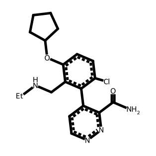 CCNCc1c(OC2CCCC2)ccc(Cl)c1-c1ccnnc1C(N)=O